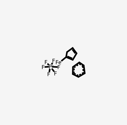 F[P-](F)(F)(F)(F)F.[Fe][C]1=CC=CC1.c1ccccc1